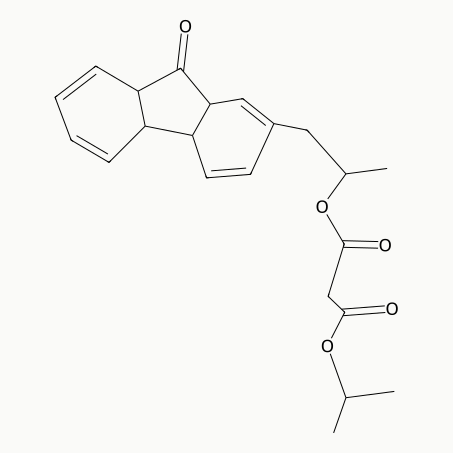 CC(C)OC(=O)CC(=O)OC(C)CC1=CC2C(=O)C3C=CC=CC3C2C=C1